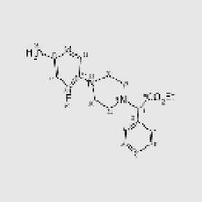 CCOC(=O)C(c1ccccc1)N1CCN(c2ccc(N)cc2F)CC1